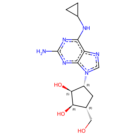 Nc1nc(NC2CC2)c2ncn([C@@H]3C[C@H](CO)[C@@H](O)[C@H]3O)c2n1